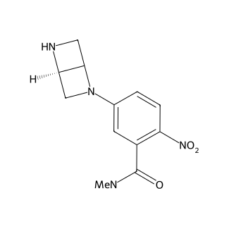 CNC(=O)c1cc(N2C[C@H]3NCC32)ccc1[N+](=O)[O-]